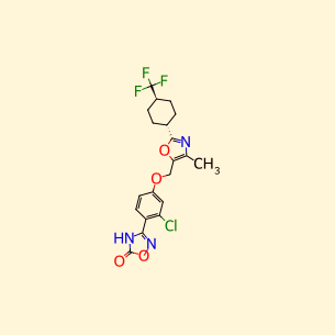 Cc1nc([C@H]2CC[C@H](C(F)(F)F)CC2)oc1COc1ccc(-c2noc(=O)[nH]2)c(Cl)c1